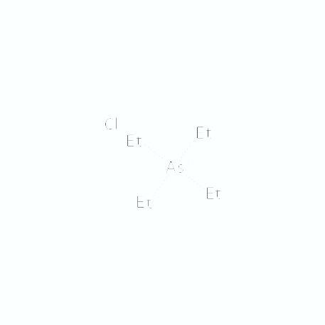 CC[As+](CC)(CC)CC.[Cl-]